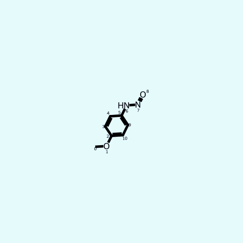 COc1ccc(NN=O)cc1